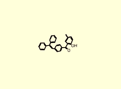 Cc1ccc(O)c(C(=O)c2ccc(C=C(c3ccccc3)c3ccccc3)cc2)c1